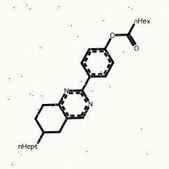 CCCCCCCC1CCc2nc(-c3ccc(OC(=O)CCCCCC)cc3)ncc2C1